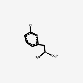 N[C@@H](Cc1cccc(Cl)n1)C(=O)O